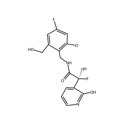 CCC[C@@](F)(C(=O)NCc1c(Cl)cc(F)cc1CO)c1cccnc1O